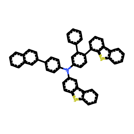 c1ccc(-c2cc(N(c3ccc(-c4ccc5ccccc5c4)cc3)c3ccc4sc5ccccc5c4c3)ccc2-c2cccc3c2sc2ccccc23)cc1